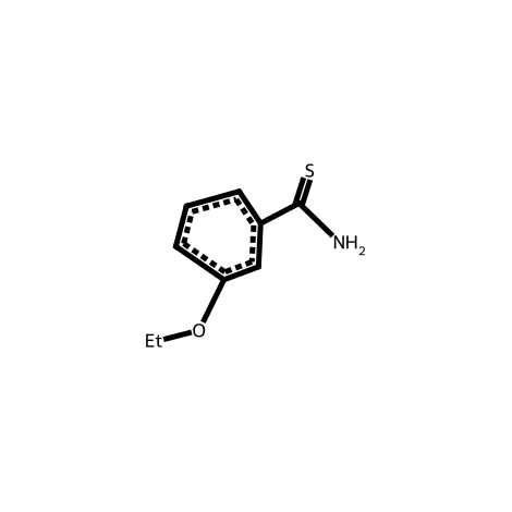 CCOc1cccc(C(N)=S)c1